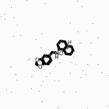 O[C@@]12CCCC[C@@H]1CCC[C@@H]2NCc1ccc2c(c1)OCO2